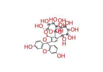 O=C1OC2(c3ccc(O)cc3Oc3cc(O)ccc32)c2ccc([C@]3(O)O[C@H](CO)[C@H](O)[C@H](O)[C@H]3O)c([C@]3(O)O[C@H](CO)[C@H](O)[C@H](O)[C@H]3O)c21